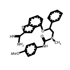 COc1ccc(NC(=O)N(C)CC(Oc2cccc3sc(C(=N)N)cc23)c2ccccc2)cc1